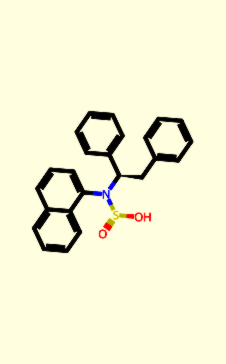 O=S(O)N(c1cccc2ccccc12)[C@H](Cc1ccccc1)c1ccccc1